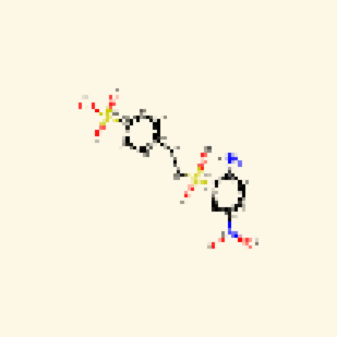 Nc1ccc([N+](=O)[O-])cc1S(=O)(=O)CCc1ccc(S(=O)(=O)O)cc1